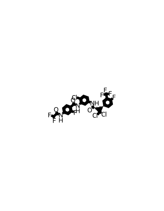 O=C(Nc1cc(NC(=O)[C@H]2[C@H](c3ccc(F)c(C(F)(F)F)c3)C2(Cl)Cl)ccc1Cl)c1ccc(NC(=O)C(F)F)cc1F